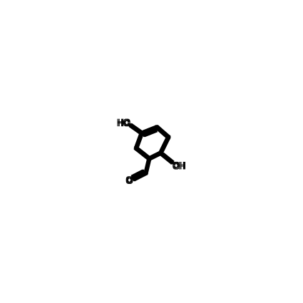 O=CC1CC(O)=CCC1O